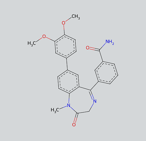 COc1ccc(-c2ccc3c(c2)C(c2cccc(C(N)=O)c2)=NCC(=O)N3C)cc1OC